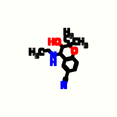 CCNC1c2cc(C#N)ccc2OC(C)(C)C1O